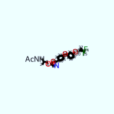 CC(=O)NC(C)COc1cnc(-c2ccc(Oc3cccc(OC[C@@H]4CC4(F)F)c3)cc2)o1